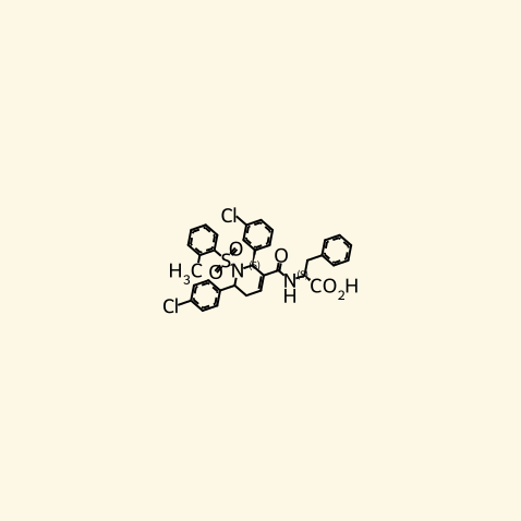 Cc1ccccc1S(=O)(=O)N1C(c2ccc(Cl)cc2)CC=C(C(=O)N[C@@H](Cc2ccccc2)C(=O)O)[C@@H]1c1cccc(Cl)c1